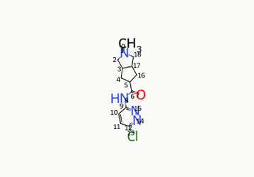 CN1CC2CC(C(=O)Nc3ccc(Cl)nn3)CC2C1